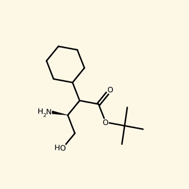 CC(C)(C)OC(=O)C(C1CCCCC1)[C@H](N)CO